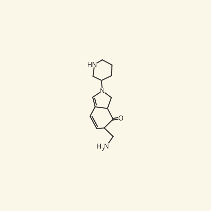 NCC1C=CC2=CN(C3CCCNC3)CC2C1=O